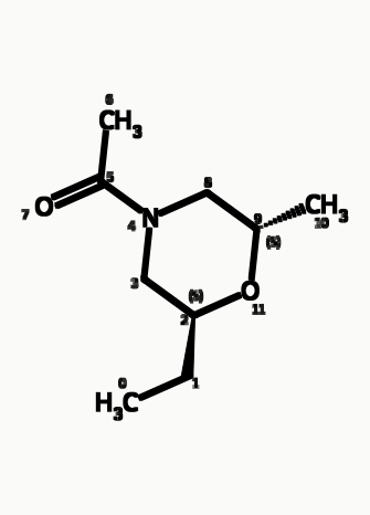 CC[C@H]1CN(C(C)=O)C[C@H](C)O1